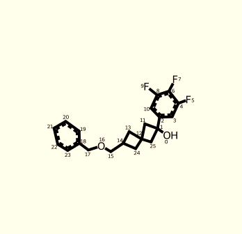 OC1(c2cc(F)c(F)c(F)c2)CC2(CC(COCc3ccccc3)C2)C1